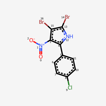 O=[N+]([O-])c1c(-c2ccc(Cl)cc2)[nH]c(Br)c1Br